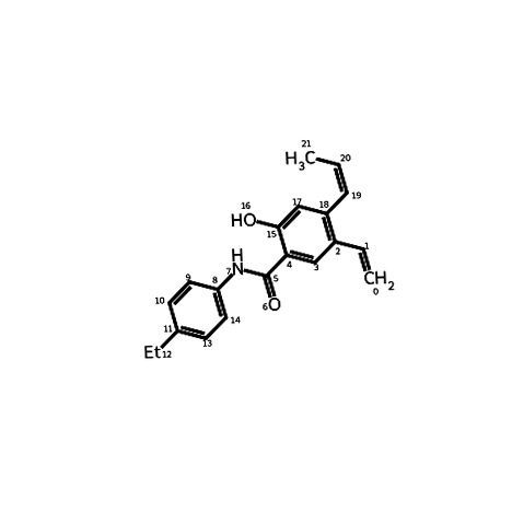 C=Cc1cc(C(=O)Nc2ccc(CC)cc2)c(O)cc1/C=C\C